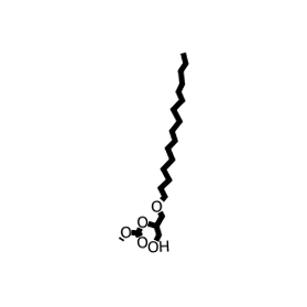 CCCCCCCCCCCCCCCCOCC(CO)OC(=O)OC